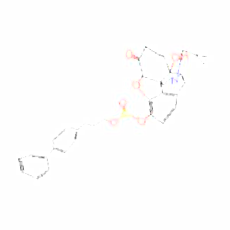 O=C1CCC2(O)C3Cc4ccc(OS(=O)OCCCc5ccc(-c6ccccc6)cc5)c5c4C2(CCN3CC2CC2)C1O5